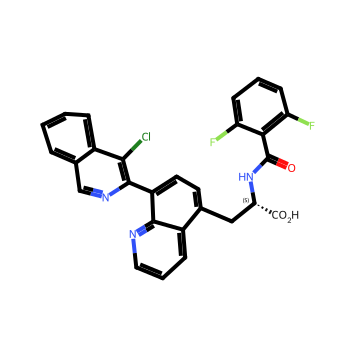 O=C(N[C@@H](Cc1ccc(-c2ncc3ccccc3c2Cl)c2ncccc12)C(=O)O)c1c(F)cccc1F